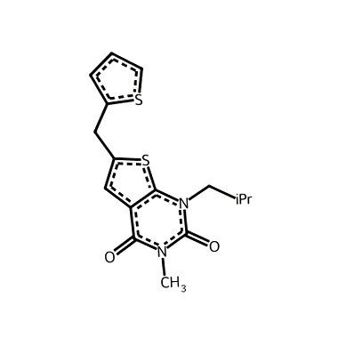 CC(C)Cn1c(=O)n(C)c(=O)c2cc(Cc3cccs3)sc21